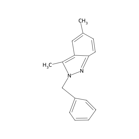 Cc1ccc2nn(Cc3ccccc3)c(C)c2c1